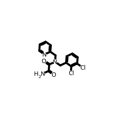 NC(=O)C(=O)N(Cc1ccccn1)Cc1cccc(Cl)c1Cl